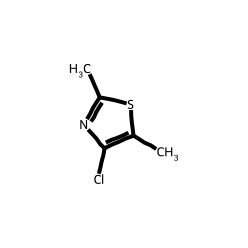 Cc1nc(Cl)c(C)s1